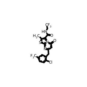 Cc1sc2nc(Cc3cc(C(F)(F)F)ccc3Cl)cc(=O)n2c1C(=O)NCC(F)(F)F